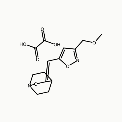 COCc1cc(C=C2CN3CCC2CC3)on1.O=C(O)C(=O)O